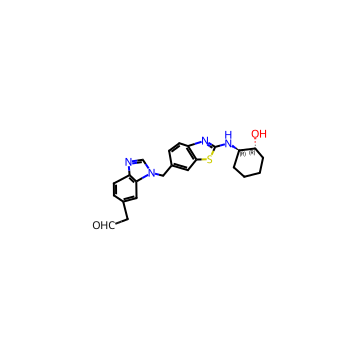 O=CCc1ccc2ncn(Cc3ccc4nc(N[C@@H]5CCCC[C@H]5O)sc4c3)c2c1